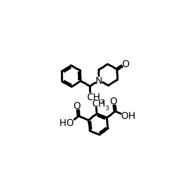 CC(c1ccccc1)N1CCC(=O)CC1.Cc1c(C(=O)O)cccc1C(=O)O